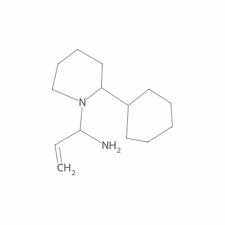 C=CC(N)N1CCCCC1C1CCCCC1